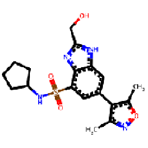 Cc1noc(C)c1-c1cc(S(=O)(=O)NC2CCCC2)c2nc(CO)[nH]c2c1